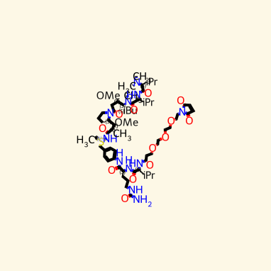 C/C=S(\Cc1ccc(NC(=O)[C@H](CCCNC(N)=O)NC(=O)[C@@H](NC(=O)CCOCCOCCOCCN2C(=O)C=CC2=O)C(C)C)cc1)NC(=O)[C@H](C)[C@@H](OC)[C@@H]1CCCN1C(=O)C[C@@H](OC)[C@H]([C@@H](C)CC)N(C)C(=O)[C@@H](NC(=O)[C@H](C(C)C)N(C)C)C(C)C